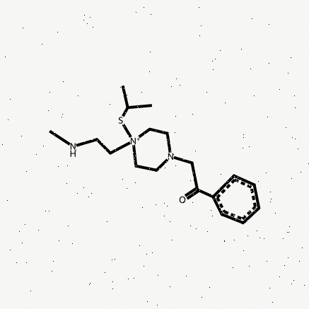 CNCC[N+]1(SC(C)C)CCN(CC(=O)c2ccccc2)CC1